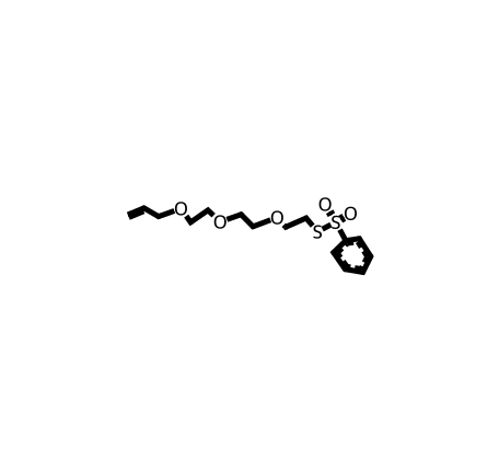 C=CCOCCOCCOCCSS(=O)(=O)c1ccccc1